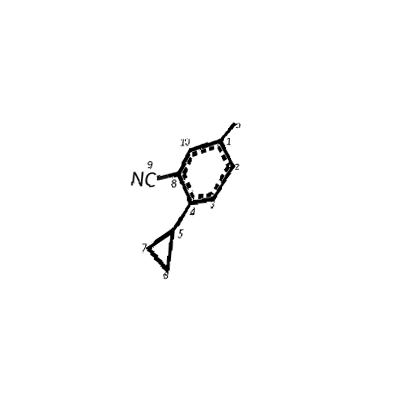 Cc1ccc(C2CC2)c(C#N)c1